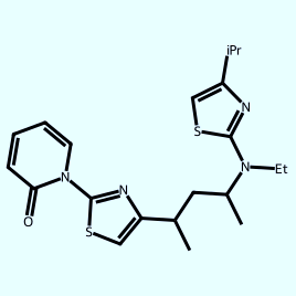 CCN(c1nc(C(C)C)cs1)C(C)CC(C)c1csc(-n2ccccc2=O)n1